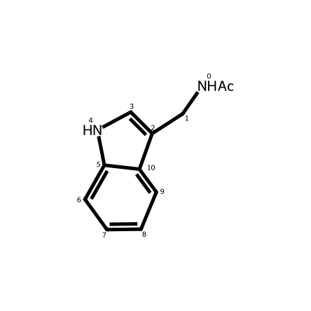 CC(=O)NCc1c[nH]c2ccccc12